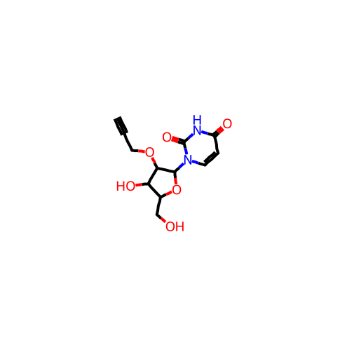 C#CCOC1C(O)C(CO)OC1n1ccc(=O)[nH]c1=O